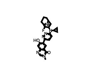 Cn1cnc2cc(O)c(-c3ccc(N(C4CC4)C4CC5CCCC(N5)C4F)nn3)cc2c1=O